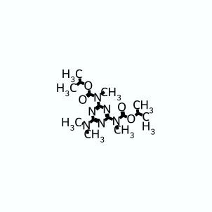 CC(C)OC(=O)N(C)c1nc(N(C)C)nc(N(C)C(=O)OC(C)C)n1